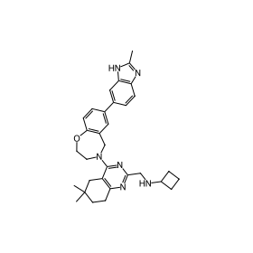 Cc1nc2ccc(-c3ccc4c(c3)CN(c3nc(CNC5CCC5)nc5c3CC(C)(C)CC5)CCO4)cc2[nH]1